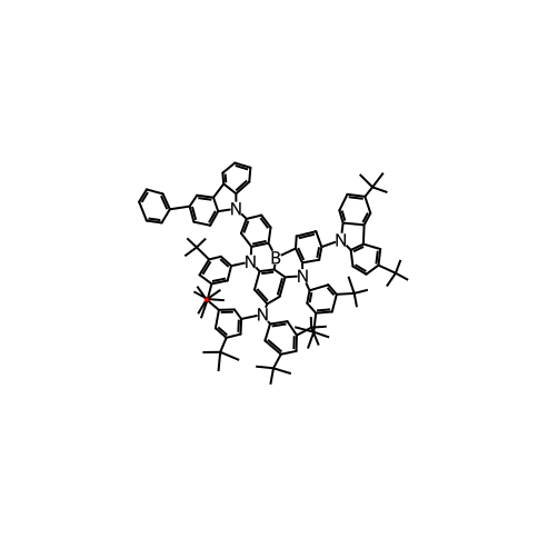 CC(C)(C)c1cc(N(c2cc(C(C)(C)C)cc(C(C)(C)C)c2)c2cc3c4c(c2)N(c2cc(C(C)(C)C)cc(C(C)(C)C)c2)c2cc(-n5c6ccc(C(C)(C)C)cc6c6cc(C(C)(C)C)ccc65)ccc2B4c2ccc(-n4c5ccccc5c5cc(-c6ccccc6)ccc54)cc2N3c2cc(C(C)(C)C)cc(C(C)(C)C)c2)cc(C(C)(C)C)c1